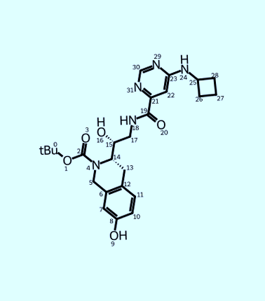 CC(C)(C)OC(=O)N1Cc2cc(O)ccc2C[C@H]1[C@H](O)CNC(=O)c1cc(NC2CCC2)ncn1